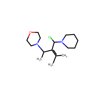 CC(C)=C(C(C)N1CCOCC1)C(Cl)N1CCCCC1